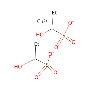 CCC(O)S(=O)(=O)[O-].CCC(O)S(=O)(=O)[O-].[Cu+2]